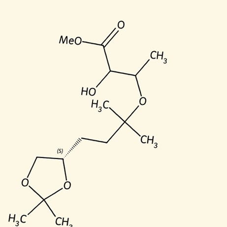 COC(=O)C(O)C(C)OC(C)(C)CC[C@H]1COC(C)(C)O1